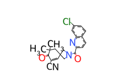 CC1(C)CC2(C=C(C#N)C1=O)CN(C(=O)c1ccc3ccc(Cl)cc3n1)C2